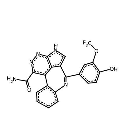 NC(=O)c1nnc2[nH]cc3c2c1-c1ccccc1N=C3c1ccc(O)c(OC(F)(F)F)c1